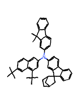 CC(C)(C)c1ccc2cc(N(c3ccc4c(c3)C(C)(C)c3ccccc3-4)c3ccc4c(c3)C3(CC5CCC3C5)c3ccccc3-4)cc(C(C)(C)C)c2c1